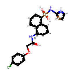 O=C(COc1ccc(Cl)cc1)Nc1cccc2c(S(=O)(=O)Nc3nccs3)cccc12